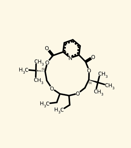 CCC1OC[C@H](C(C)(C)C)OC(=O)c2cccc(n2)C(=O)O[C@@H](C(C)(C)C)COC1CC